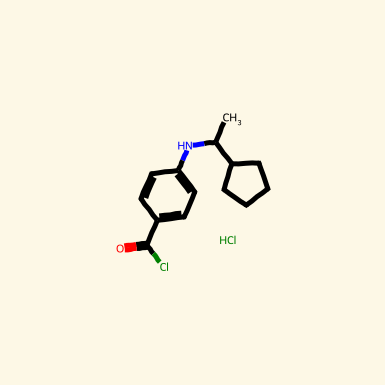 CC(Nc1ccc(C(=O)Cl)cc1)C1CCCC1.Cl